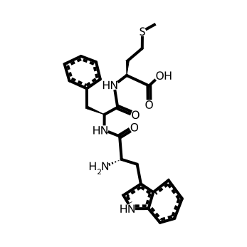 CSCC[C@H](NC(=O)[C@H](Cc1ccccc1)NC(=O)[C@@H](N)Cc1c[nH]c2ccccc12)C(=O)O